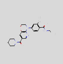 CCNC(=O)c1ccc(N2CCOc3cc(C(=O)N4CCCCC4)cnc32)cc1C